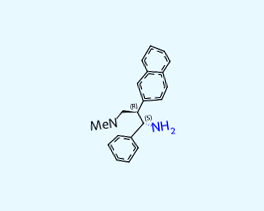 CNC[C@@H](c1ccc2ccccc2c1)[C@H](N)c1ccccc1